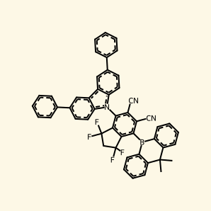 CC1(C)c2ccccc2B(c2c(C#N)c(C#N)c(-n3c4ccc(-c5ccccc5)cc4c4cc(-c5ccccc5)ccc43)c3c2C(F)(F)CC3(F)F)c2ccccc21